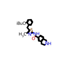 Cc1nc(NC(=O)c2ccc3c(c2)CCNC3)sc1Cc1ccccc1OCC(C)C